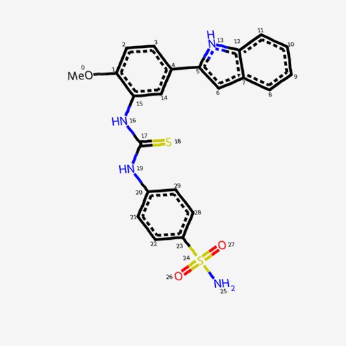 COc1ccc(-c2cc3ccccc3[nH]2)cc1NC(=S)Nc1ccc(S(N)(=O)=O)cc1